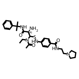 CCN(C(C)=O)C(SNc1ccc(C(=O)NCCN2CCCC2)cc1)[C@H](N)C(=O)NC(C)(C)c1ccccc1